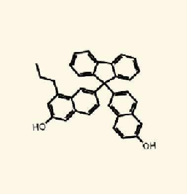 CCCc1cc(O)cc2ccc(C3(c4ccc5cc(O)ccc5c4)c4ccccc4-c4ccccc43)cc12